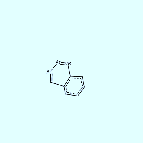 C1=[As][As]=[As]c2ccccc21